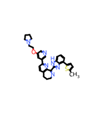 Cc1ccc(-c2cccc3[nH]c(C4=NCCCc5ccc(-c6cncc(OCCN7CCCC7)c6)nc54)nc23)s1